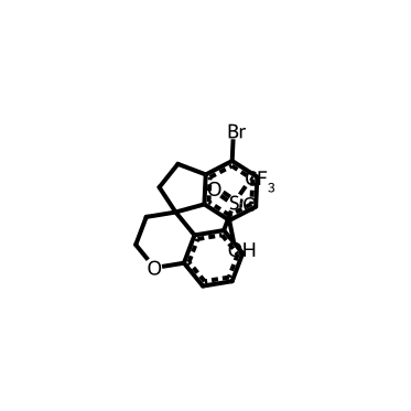 O=S(=O)(c1cccc2c1C1(CCO2)CCc2c(Br)ccc(O)c21)C(F)(F)F